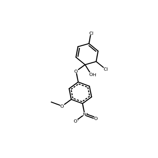 COc1cc(OC2(O)C=CC(Cl)=CC2Cl)ccc1[N+](=O)[O-]